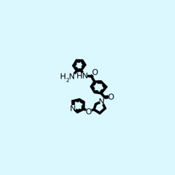 Nc1ccccc1NC(=O)c1ccc(C(=O)N2CCC(Oc3cccnc3)C2)cc1